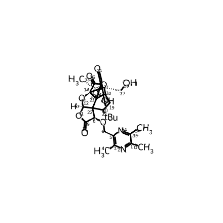 Cc1nc(C)c(CO[C@H]2C(=O)O[C@H]3O[C@]45C(=O)OC6C[C@@H](C(C)(C)C)C32C64[C@@H](O)[C@@H](CO)OC(=O)[C@H]5C)nc1C